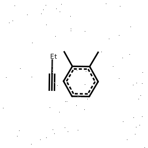 C#CCC.Cc1ccccc1C